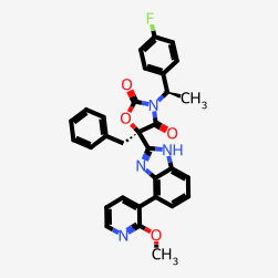 COc1ncccc1-c1cccc2[nH]c([C@@]3(Cc4ccccc4)OC(=O)N([C@H](C)c4ccc(F)cc4)C3=O)nc12